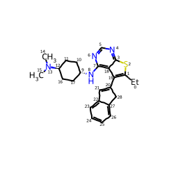 CCc1sc2ncnc(N[C@H]3CC[C@H](N(C)C)CC3)c2c1C1=Cc2ccccc2C1